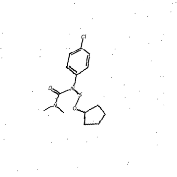 CN(C)C(=O)N(SOC1CCCC1)c1ccc(Cl)cc1